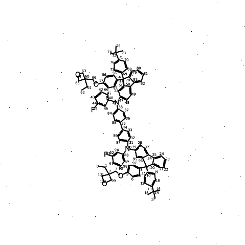 CCC1(COc2ccc(C3(c4ccc(C(C)(C)C)cc4)c4ccccc4-c4ccc(N(c5ccc(-c6ccc(N(c7cccc(F)c7)c7ccc8c(c7)C(c7ccc(OCC9(CC)COC9)cc7)(c7ccc(C(C)(C)C)cc7)c7ccccc7-8)cc6)cc5)c5cccc(F)c5)cc43)cc2)COC1